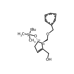 CC(C)(C)[Si](C)(C)O[C@H]1CC=C(CO)[C@@H]1COCc1ccccc1